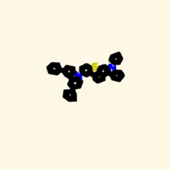 c1ccc(-c2ccc3c(c2)c2cc(-c4ccccc4)ccc2n3-c2ccc3c(c2)-c2cccc4c2c(cc2c4c4ccccc4n2-c2ccccc2)S3)cc1